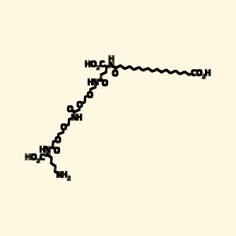 NCCCC[C@H](NC(=O)COCCOCCNC(=O)COCCOCCNC(=O)CCC(NC(=O)CCCCCCCCCCCCCCCCC(=O)O)C(=O)O)C(=O)O